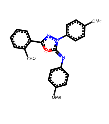 COc1ccc(N=c2oc(-c3ccccc3C=O)nn2-c2ccc(OC)cc2)cc1